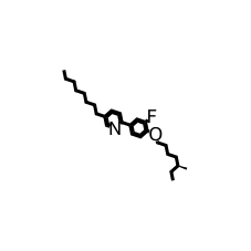 CCCCCCCCc1ccc(-c2ccc(OCCCC[C@@H](C)CC)c(F)c2)nc1